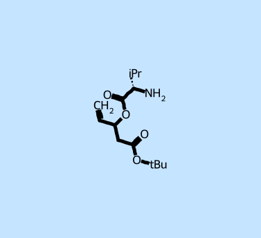 C=CC(CC(=O)OC(C)(C)C)OC(=O)[C@@H](N)C(C)C